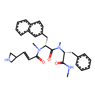 CNC(=O)[C@@H](Cc1ccccc1)N(C)C(=O)[C@@H](Cc1ccc2ccccc2c1)N(C)C(=O)/C=C/C1CNC1